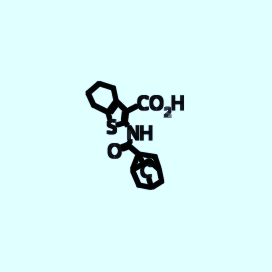 O=C(O)c1c(NC(=O)C23CC4CC(CC2C4)C3)sc2c1CCCC2